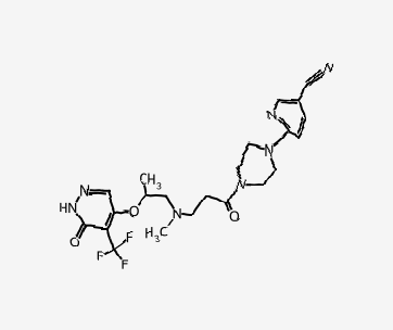 CC(CN(C)CCC(=O)N1CCN(c2ccc(C#N)cn2)CC1)Oc1cn[nH]c(=O)c1C(F)(F)F